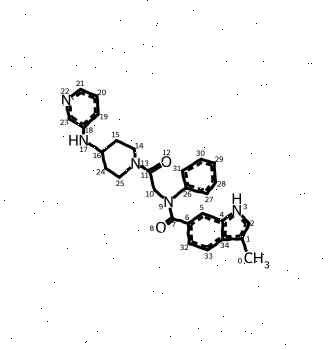 Cc1c[nH]c2cc(C(=O)N(CC(=O)N3CCC(Nc4cccnc4)CC3)c3ccccc3)ccc12